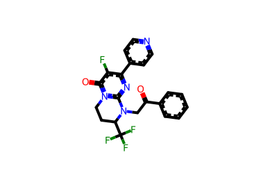 O=C(CN1c2nc(-c3ccncc3)c(F)c(=O)n2CCC1C(F)(F)F)c1ccccc1